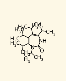 CC(C)C1=C(C(C)C)C(C(C)C)=C(C(C)C)N(C(C)C)C(=O)N1